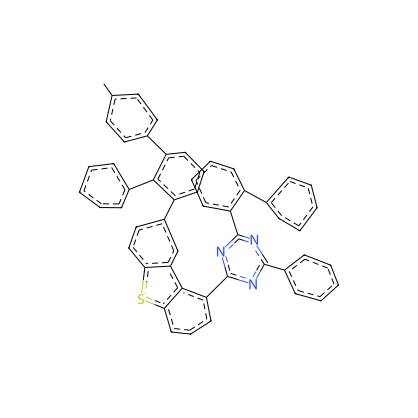 Cc1ccc(-c2cccc(-c3ccc4sc5cccc(-c6nc(-c7ccccc7)nc(-c7ccccc7-c7ccccc7)n6)c5c4c3)c2-c2ccccc2)cc1